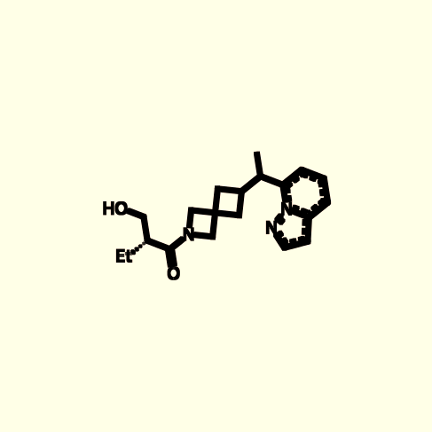 CC[C@H](CO)C(=O)N1CC2(CC(C(C)c3cccc4ccnn34)C2)C1